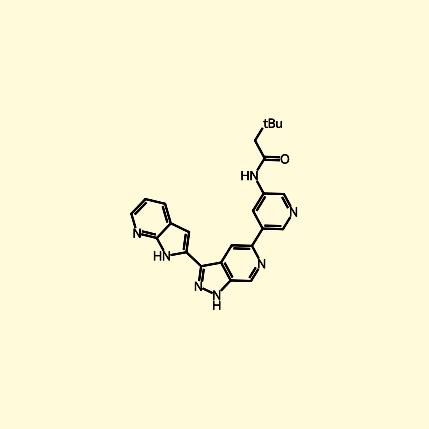 CC(C)(C)CC(=O)Nc1cncc(-c2cc3c(-c4cc5cccnc5[nH]4)n[nH]c3cn2)c1